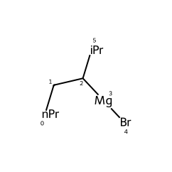 CCCC[CH]([Mg][Br])C(C)C